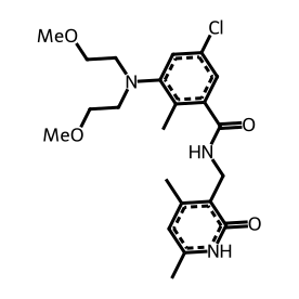 COCCN(CCOC)c1cc(Cl)cc(C(=O)NCc2c(C)cc(C)[nH]c2=O)c1C